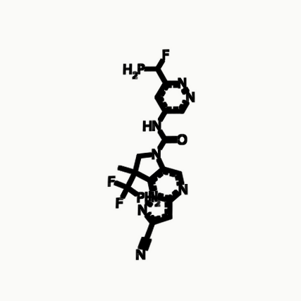 CC1(C(F)(F)P)CN(C(=O)Nc2cnnc(C(F)P)c2)c2cnc3cc(C#N)nn3c21